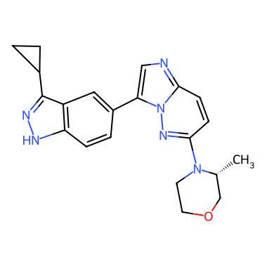 C[C@@H]1COCCN1c1ccc2ncc(-c3ccc4[nH]nc(C5CC5)c4c3)n2n1